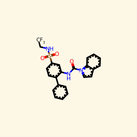 O=C(Nc1cc(S(=O)(=O)NCC(F)(F)F)ccc1-c1ccccc1)n1ccc2ccccc21